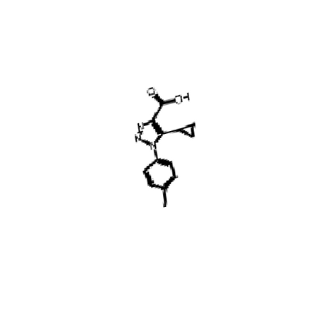 Cc1ccc(-n2nnc(C(=O)O)c2C2CC2)cc1